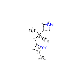 CC(C)(C)C1CC(CC(C)(C)C2CNC2)N1